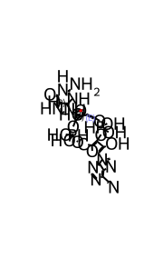 N#Cc1ncnc2c1ncn2-c1oc2c(c1O)O[PH](O)(O)O/C=C1/OC(N3CN[C@H]4C(=O)NC(N)NC43)=C(O[PH](O)(O)OC2)[C@@H]1O